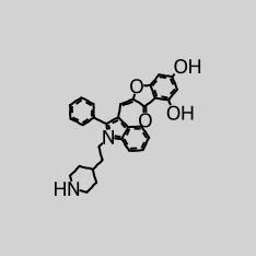 O=C1C(=Cc2c(-c3ccccc3)n(CCC3CCNCC3)c3ccccc23)Oc2cc(O)cc(O)c21